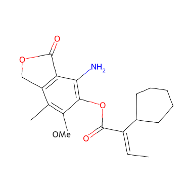 CC=C(C(=O)Oc1c(N)c2c(c(C)c1OC)COC2=O)C1CCCCC1